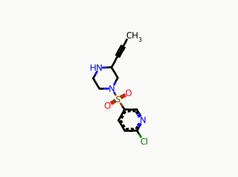 CC#CC1CN(S(=O)(=O)c2ccc(Cl)nc2)CCN1